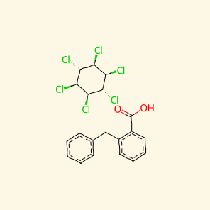 Cl[C@H]1[C@H](Cl)[C@@H](Cl)[C@@H](Cl)[C@H](Cl)[C@H]1Cl.O=C(O)c1ccccc1Cc1ccccc1